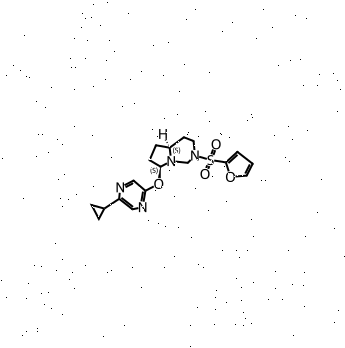 O=S(=O)(c1ccco1)N1CC[C@@H]2CC[C@H](Oc3cnc(C4CC4)cn3)N2C1